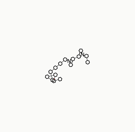 c1ccc(-c2cccc(-n3c4ccccc4c4cc(-c5ccc6c(c5)c5ccccc5n6-c5cccc(-c6ccc(-c7ccc(-c8cccc(C9(c%10ccccc%10-c%10ccccc%10-c%10ccccc%10)c%10ccccc%10-c%10ccccc%109)c8)cc7)cc6)c5)ccc43)c2)cc1